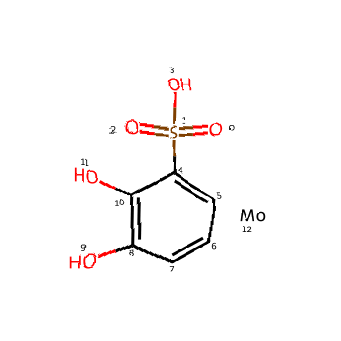 O=S(=O)(O)c1cccc(O)c1O.[Mo]